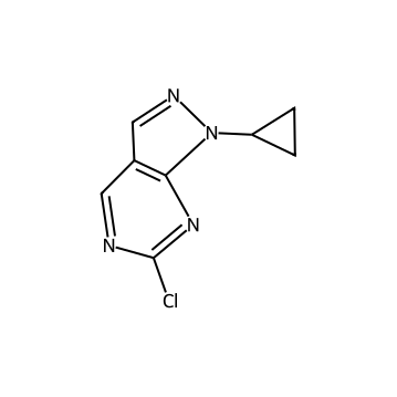 Clc1ncc2cnn(C3CC3)c2n1